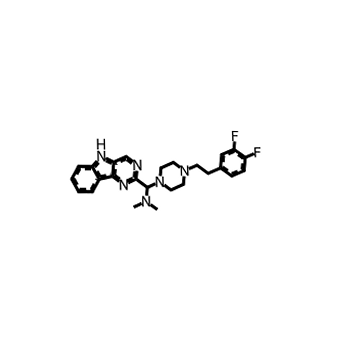 CN(C)C(c1ncc2[nH]c3ccccc3c2n1)N1CCN(CCc2ccc(F)c(F)c2)CC1